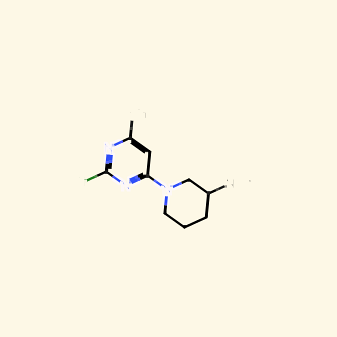 CCCc1cc(N2CCCC(NC(C)=O)C2)nc(Cl)n1